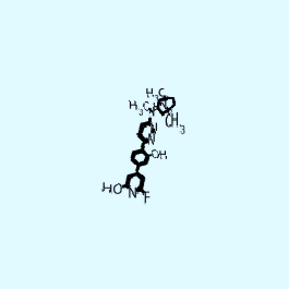 CN(c1ccc(-c2ccc(-c3cc(O)nc(F)c3)cc2O)nn1)[C@H]1C[C@]2(C)CC[C@](C)(C1)N2